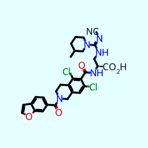 CC1CCCN(C(=NC#N)NC[C@H](NC(=O)c2c(Cl)cc3c(c2Cl)CCN(C(=O)c2ccc4ccoc4c2)C3)C(=O)O)C1